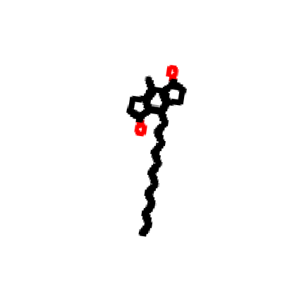 CCCCCCCCCCCCc1c2c(c(C)c3c1C(=O)CC3)C(=O)CC2